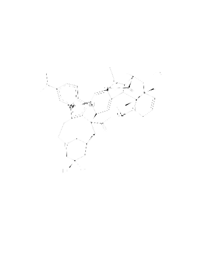 CC[C@]1(O)C[C@H]2CN(CCc3c([nH]c4ccc(N(C)C)cc34)[C@@](C(=O)OC)(C3C=C4C(=CC3OC)N(C)[C@@]35O[C@]3(C(=O)OC)[C@H](OC(C)=O)[C@]3(CC)C=CCN6CC[C@]45[C@@H]63)C2)C1